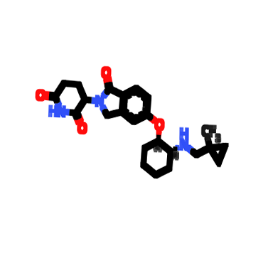 O=C1CCC(N2Cc3cc(O[C@@H]4CCCC[C@H]4NCC4(C(F)(F)F)CC4)ccc3C2=O)C(=O)N1